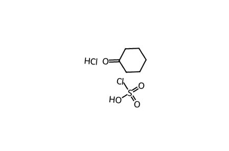 Cl.O=C1CCCCC1.O=S(=O)(O)Cl